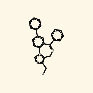 ClCc1ncn2c1CN=C(c1ccccc1)c1cc(-c3ccccc3)ccc1-2